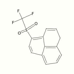 O=S(=O)(c1ccc2cccc3c2c1C=CC3)C(F)(F)F